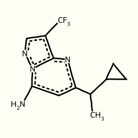 CC(c1cc(N)n2ncc(C(F)(F)F)c2n1)C1CC1